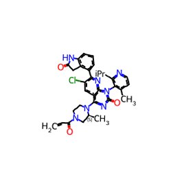 C=CC(=O)N1CCN(c2nc(=O)n(-c3c(C)ccnc3C(C)C)c3nc(-c4cccc5c4CC(=O)N5)c(Cl)cc23)[C@@H](C)C1